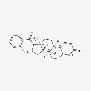 Cc1ccccc1C(=O)C1CC[C@H]2[C@@H]3CCC4NC(=O)C=C[C@]4(C)[C@@H]3CC[C@]12C